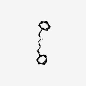 c1ccc(CC[N]NCc2ccccc2)cc1